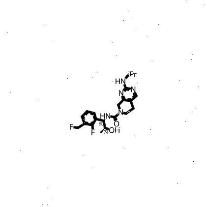 CC(C)Nc1ncc2c(n1)CN(C(=O)N[C@@H](c1cccc(CF)c1F)[C@H](C)O)CC2